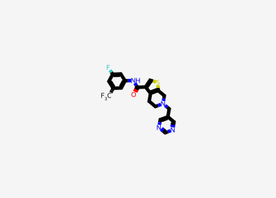 O=C(Nc1cc(F)cc(C(F)(F)F)c1)c1csc2c1CCN(Cc1cncnc1)C2